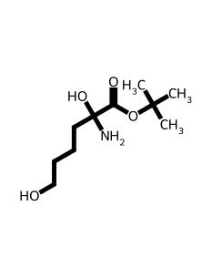 CC(C)(C)OC(=O)C(N)(O)CCCCO